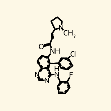 CN1CCCC1C=CC(=O)Nc1ccc2ncnc(Nc3ccccc3F)c2c1-c1cccc(Cl)c1